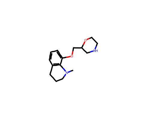 CN1CCCc2cccc(OCC3CNCCO3)c21